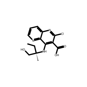 CC[C@](C)(CO)Nc1c(C(=O)O)c(Cl)nc2cccnc12